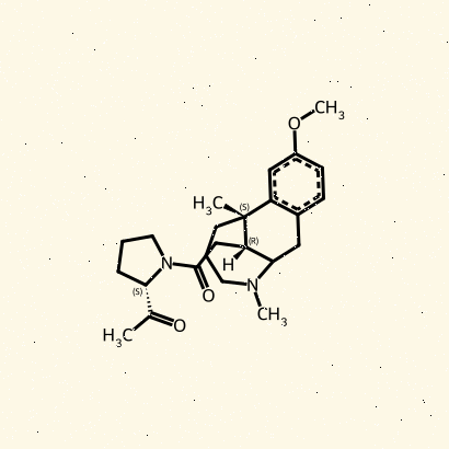 COc1ccc2c(c1)[C@@]1(C)CCCN(C)C(C2)[C@@H]1CC(=O)N1CCC[C@H]1C(C)=O